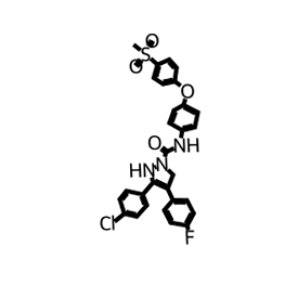 CS(=O)(=O)c1ccc(Oc2ccc(NC(=O)N3CC(c4ccc(F)cc4)=C(c4ccc(Cl)cc4)N3)cc2)cc1